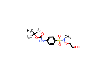 CN(OCCO)S(=O)(=O)c1ccc(NC(=O)OC(C)(C)C)cc1